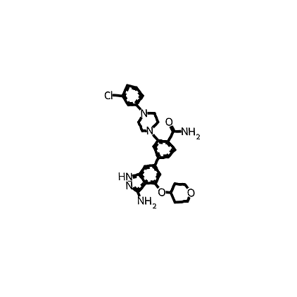 NC(=O)c1ccc(-c2cc(OC3CCOCC3)c3c(N)n[nH]c3c2)cc1N1CCN(c2cccc(Cl)c2)CC1